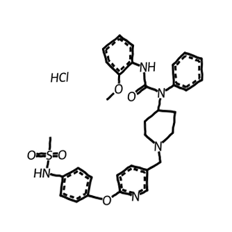 COc1ccccc1NC(=O)N(c1ccccc1)C1CCN(Cc2ccc(Oc3ccc(NS(C)(=O)=O)cc3)nc2)CC1.Cl